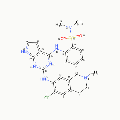 CN1CCc2cc(Cl)c(Nc3nc(Nc4ccccc4S(=O)(=O)N(C)C)c4cc[nH]c4n3)cc2C1